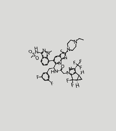 CCN1CCN(c2nc3nc([C@H](Cc4cc(F)cc(F)c4)NC(=O)Cn4nc(C(F)(F)F)c5c4C(F)(F)[C@@H]4C[C@H]54)c(-c4cccc5c(NS(C)(=O)=O)nn(C)c45)cc3s2)CC1